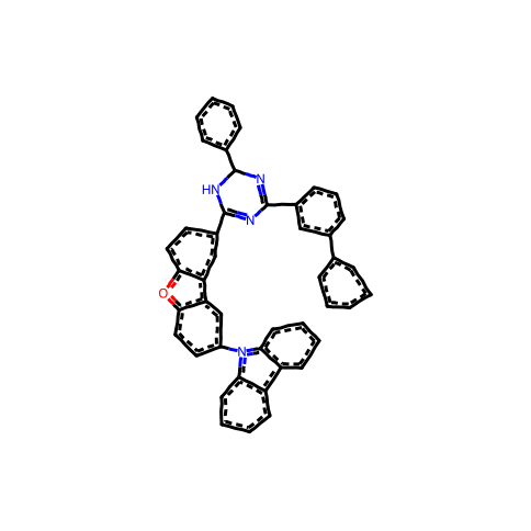 c1ccc(-c2cccc(C3=NC(c4ccccc4)NC(c4ccc5oc6ccc(-n7c8ccccc8c8ccccc87)cc6c5c4)=N3)c2)cc1